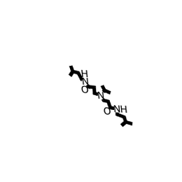 CC(C)CCNC(=O)CCN(CCC(=O)NCCC(C)C)C(C)C